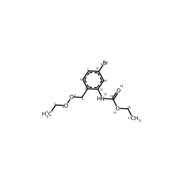 CCOOCc1ccc(Br)cc1NC(=O)OCC